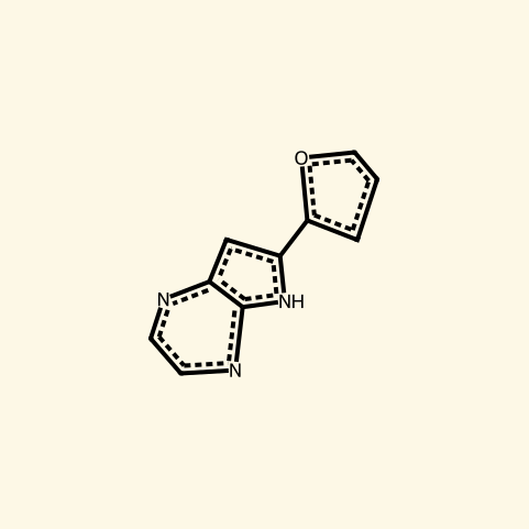 c1coc(-c2cc3nccnc3[nH]2)c1